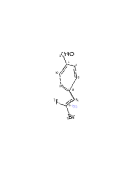 O=Cc1ccc(/C=C(\F)Br)cc1